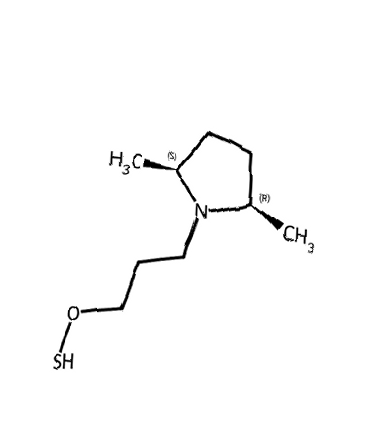 C[C@@H]1CC[C@H](C)N1CCCOS